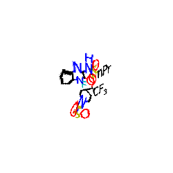 CCCS(=O)(=O)Nc1nc2ccccc2nc1OC(C(F)(F)F)C1(F)CCN(S(C)(=O)=O)CC1